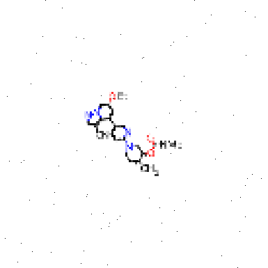 CCOc1cc(-c2ccc(N3CC[C@H](C)[C@H](OC(=O)NC)C3)nc2)c2c(C#N)cnn2c1